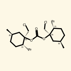 CC(C)[C@@H]1CC[C@@H](C)C[C@@]1(CCl)OC(=O)O[C@]1(CCl)C[C@H](C)CC[C@H]1C(C)C